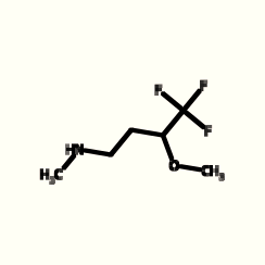 CNCCC(OC)C(F)(F)F